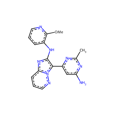 COc1ncccc1Nc1nc2cccnn2c1-c1cc(N)nc(C)n1